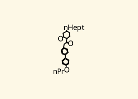 CCCCCCCC1CCC(C(=O)Cc2ccc(-c3ccc(OCCC)cc3)cc2)C(=O)C1